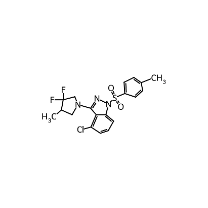 Cc1ccc(S(=O)(=O)n2nc(N3CC(C)C(F)(F)C3)c3c(Cl)cccc32)cc1